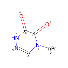 CCCn1[c]n[nH]c(=O)c1=O